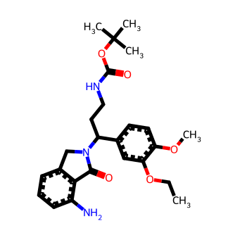 CCOc1cc(C(CCNC(=O)OC(C)(C)C)N2Cc3cccc(N)c3C2=O)ccc1OC